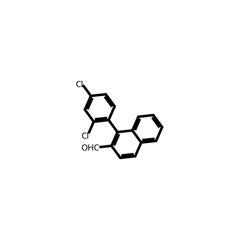 O=Cc1ccc2ccccc2c1-c1ccc(Cl)cc1Cl